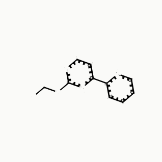 CCSc1nccc(-c2ccccn2)n1